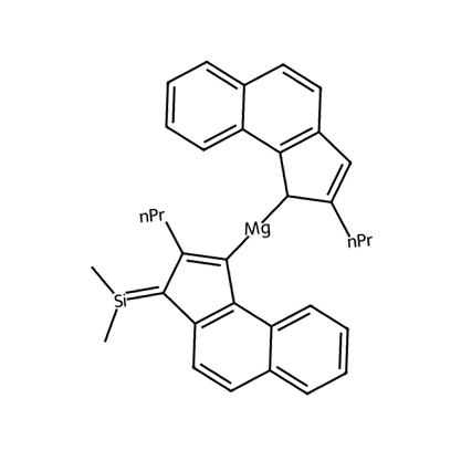 CCCC1=Cc2ccc3ccccc3c2[CH]1[Mg][C]1=C(CCC)C(=[Si](C)C)c2ccc3ccccc3c21